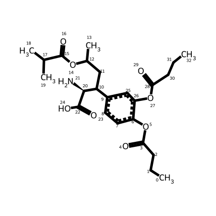 CCCC(=O)Oc1ccc(C(CC(C)OC(=O)C(C)C)[C@H](N)C(=O)O)cc1OC(=O)CCC